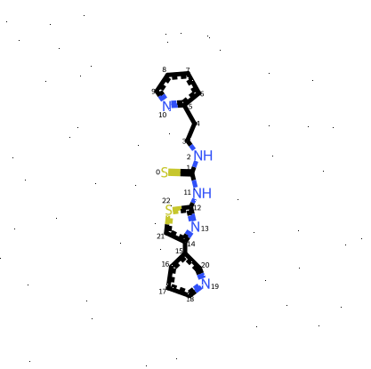 S=C(NCCc1ccccn1)Nc1nc(-c2cccnc2)cs1